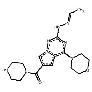 C/C=N/Nc1nc(N2CCOCC2)c2cc(C(=O)N3CCNCC3)cn2n1